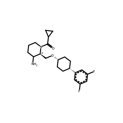 NC1CCCN(C(=O)C2CC2)[C@H]1CO[C@H]1CC[C@@H](c2cc(F)cc(F)c2)CC1